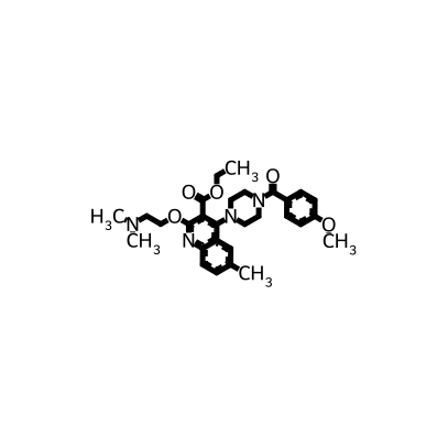 CCOC(=O)c1c(OCCN(C)C)nc2ccc(C)cc2c1N1CCN(C(=O)c2ccc(OC)cc2)CC1